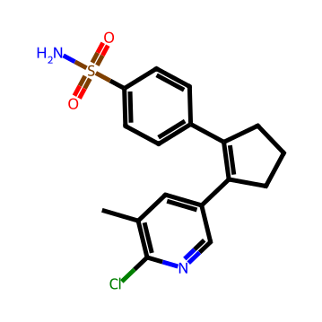 Cc1cc(C2=C(c3ccc(S(N)(=O)=O)cc3)CCC2)cnc1Cl